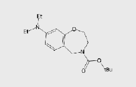 CCN(CC)c1ccc2c(c1)OCCN(C(=O)OC(C)(C)C)C2